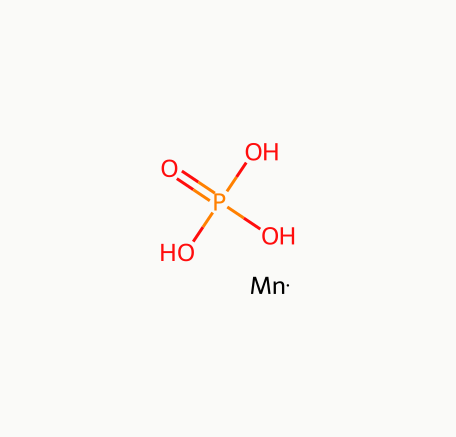 O=P(O)(O)O.[Mn]